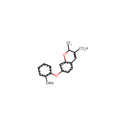 COc1ccccc1Oc1ccc2c(c1)OC(C(F)(F)F)C(C(=O)O)=C2